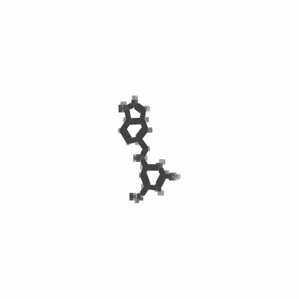 Cc1cc(NCc2ccc3[nH]ncc3c2)nc(Cl)n1